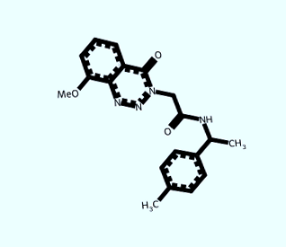 COc1cccc2c(=O)n(CC(=O)NC(C)c3ccc(C)cc3)nnc12